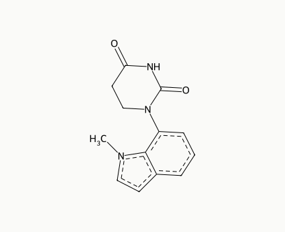 Cn1ccc2cccc(N3CCC(=O)NC3=O)c21